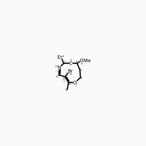 CCC1CC(OC)CCO/C(C)=C(Br)/C=N\1